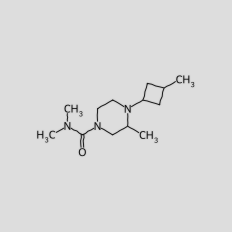 CC1CC(N2CCN(C(=O)N(C)C)CC2C)C1